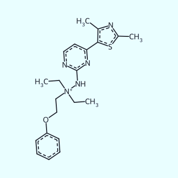 CC[N+](CC)(CCOc1ccccc1)Nc1nccc(-c2sc(C)nc2C)n1